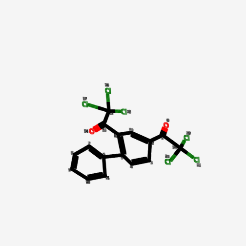 O=C(c1ccc(-c2ccccc2)c(C(=O)C(Cl)(Cl)Cl)c1)C(Cl)(Cl)Cl